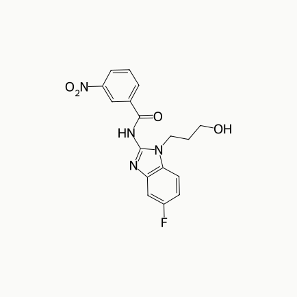 O=C(Nc1nc2cc(F)ccc2n1CCCO)c1cccc([N+](=O)[O-])c1